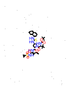 C=CC1CC1(NC(=O)[C@@H]1C[C@@H](NC(=S)Nc2cccc3ccccc23)CN1C(=O)[C@@H](NC(=O)OC(C)(C)C)C(C)(C)C)C(=O)NS(=O)(=O)C1CC1